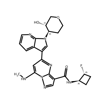 CNc1cc(-c2cn([C@@H]3CCOC[C@H]3O)c3ncccc23)nc2c(C(=O)N[C@@H]3CC[C@H]3F)cnn12